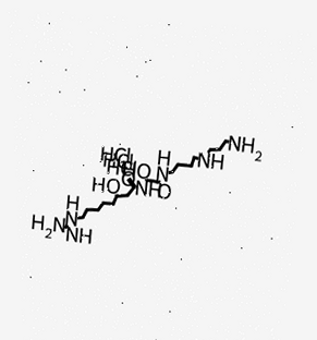 Cl.Cl.Cl.N=C(N)NCCCCCC(O)CC(=O)NC(O)C(=O)NCCCCNCCCN